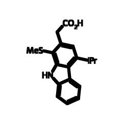 CSc1c(CC(=O)O)cc(C(C)C)c2c1[nH]c1ccccc12